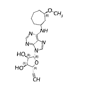 C#C[C@H]1O[C@@H](n2cnc3c(NC4CCCC[C@@H](OC)C4)ncnc32)[C@H](O)[C@@H]1O